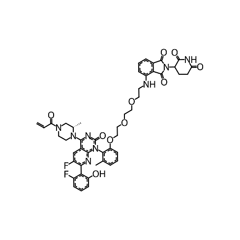 C=CC(=O)N1CCN(c2nc(=O)n(-c3c(C)cccc3OCCOCCOCCNc3cccc4c3C(=O)N(C3CCC(=O)NC3=O)C4=O)c3nc(-c4c(O)cccc4F)c(F)cc23)[C@@H](C)C1